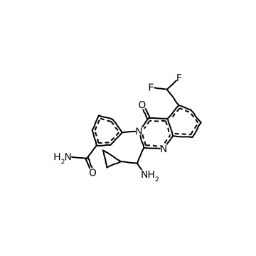 NC(=O)c1cccc(-n2c(C(N)C3CC3)nc3cccc(C(F)F)c3c2=O)c1